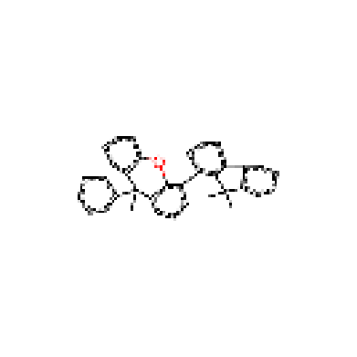 CC1(C)c2ccccc2-c2cccc(-c3cccc4c3Oc3ccccc3C4(C)c3ccccc3)c21